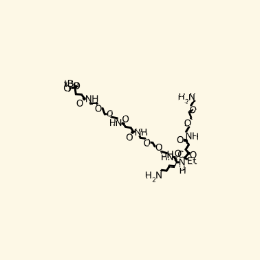 CCC(C)(N[C@@H](CCCCN)C(=O)NCCOCCOCCNC(=O)CCC(=O)NCCOCCOCCNC(=O)CCC(=O)OC(C)(C)C)C(=O)CCC(=O)NCCOCCOCCN